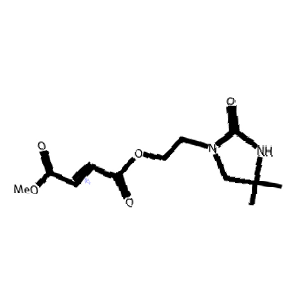 COC(=O)/C=C/C(=O)OCCN1CC(C)(C)NC1=O